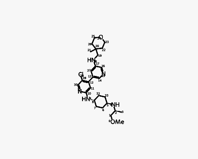 COC[C@H](C)N[C@H]1CC[C@H](Nc2cc(-c3cncc(NCC4(C)CCOCC4)c3)c(Cl)cn2)CC1